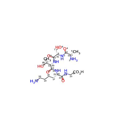 C[C@H](N)C(=O)N[C@@H](CO)C(=O)N[C@H](C(=O)N[C@@H](CCCCN)C(=O)NCC(=O)O)[C@@H](C)O